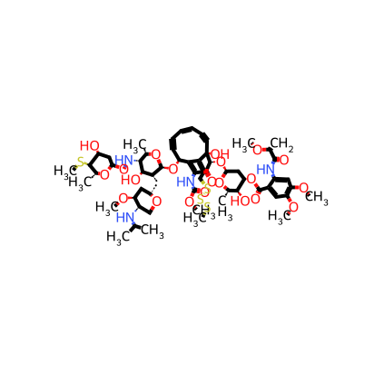 C=C(OC)C(=O)Nc1cc(OC)c(OC)cc1C(=O)O[C@H]1C[C@H](O[C@@H]2C(=O)C(NC(=O)OC)=C3/C(=C\CSSSC)[C@]2(O)C#C/C=C\C#C[C@@H]3O[C@@H]2O[C@@H](C)[C@@H](NOC3C[C@H](O)[C@H](SC)[C@@H](C)O3)[C@H](O)[C@H]2C[C@H]2C[C@H](OC)[C@@H](NC(C)C)CO2)O[C@@H](C)[C@@H]1O